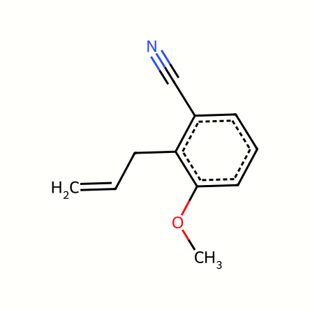 C=CCc1c(C#N)cccc1OC